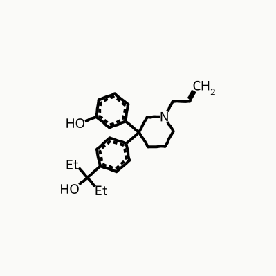 C=CCN1CCCC(c2ccc(C(O)(CC)CC)cc2)(c2cccc(O)c2)C1